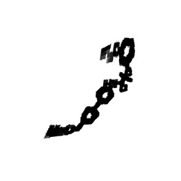 COCc1ccc(-c2ccc(NC(=O)C(C)(C)Oc3cccc(C(F)(F)F)c3)cc2)cc1